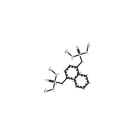 CCOP(=O)(Cc1ccc(CP(=O)(OCC)OCC)c2ccccc12)OCC